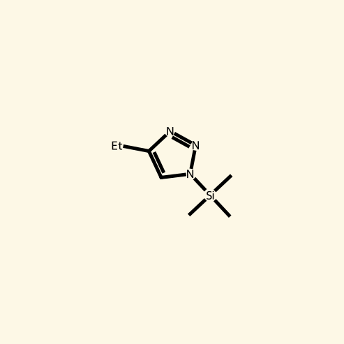 CCc1cn([Si](C)(C)C)nn1